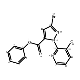 O=C(Oc1ccccc1)c1cc(Br)nn1-c1ncccc1Cl